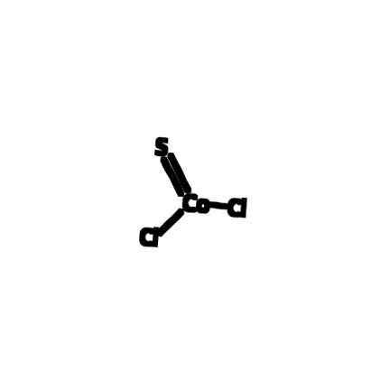 [S]=[Co]([Cl])[Cl]